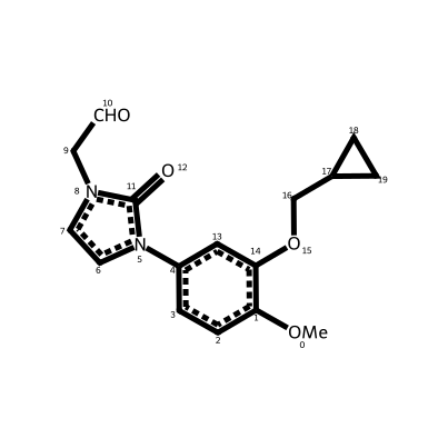 COc1ccc(-n2ccn(CC=O)c2=O)cc1OCC1CC1